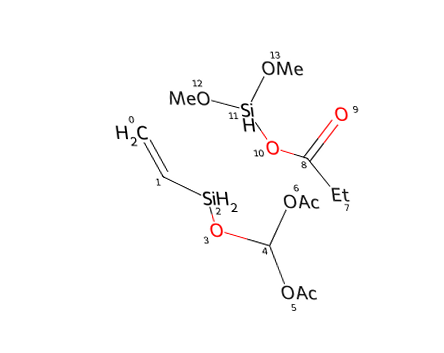 C=C[SiH2]OC(OC(C)=O)OC(C)=O.CCC(=O)O[SiH](OC)OC